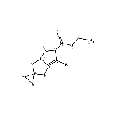 CCOC(=O)c1nn2c(c1Br)CC1(CC1)C2